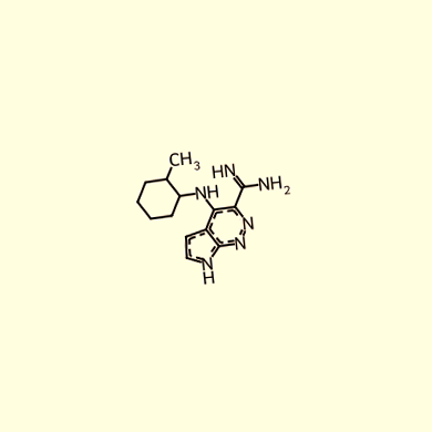 CC1CCCCC1Nc1c(C(=N)N)nnc2[nH]ccc12